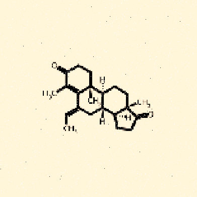 CC=C1C[C@@H]2[C@H](CC[C@]3(C)C(=O)CC[C@@H]23)[C@@]2(C)CCC(=O)C(C)=C12